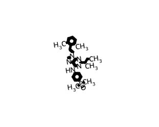 CCC(C)c1nc(Nc2ccc(P(C)(C)=O)cc2)c2ncn(C=Cc3c(C)cccc3C)c2n1